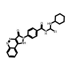 CCC(NC(=O)c1ccc(-n2[nH]c3c(nnc4ccccc43)c2=O)cc1)NC1CCCCC1